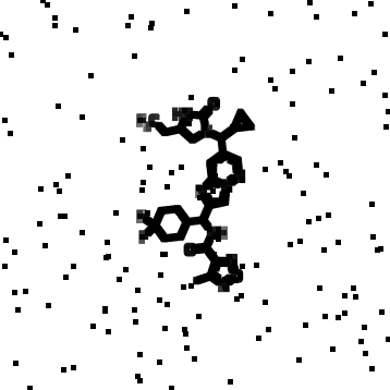 Cc1nonc1C(=O)NC(c1cn2ncc(C(C3CC3)N3CC(CC(F)(F)F)NC3=O)cc2n1)C1CCC(F)(F)CC1